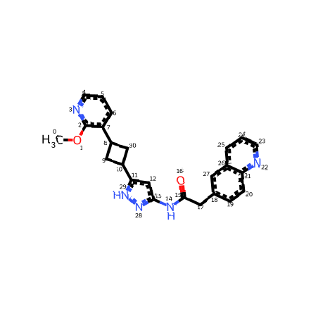 COc1ncccc1C1CC(c2cc(NC(=O)Cc3ccc4ncccc4c3)n[nH]2)C1